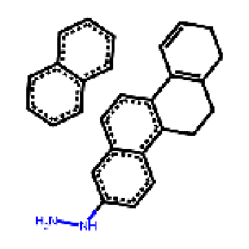 NNc1ccc2c3c(ccc2c1)C1=C(CCC=C1)CC3.c1ccc2ccccc2c1